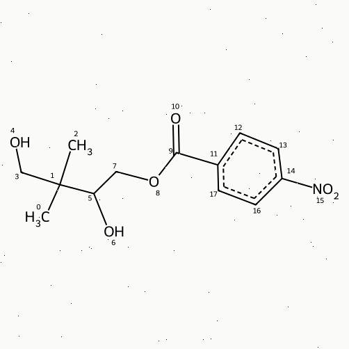 CC(C)(CO)C(O)COC(=O)c1ccc([N+](=O)[O-])cc1